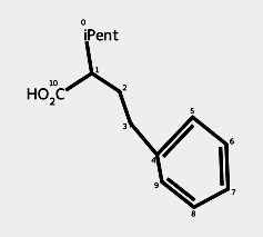 CCCC(C)C(C[CH]c1ccccc1)C(=O)O